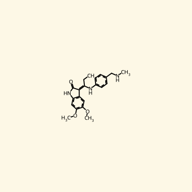 CCC(Nc1ccc(CNC)cc1)=C1C(=O)Nc2cc(OC)c(OC)cc21